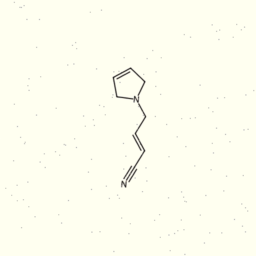 N#CC=CCN1CC=CC1